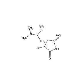 COC(C)N(C)C.Cl.O=C1CC(Br)C(=O)N1